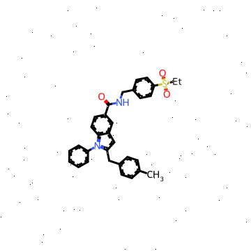 CCS(=O)(=O)c1ccc(CNC(=O)c2ccc3c(c2)cc(Cc2ccc(C)cc2)n3-c2ccccc2)cc1